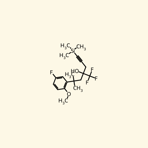 COc1ccc(F)cc1C(C)(C)CC(O)(CC#C[Si](C)(C)C)C(F)(F)F